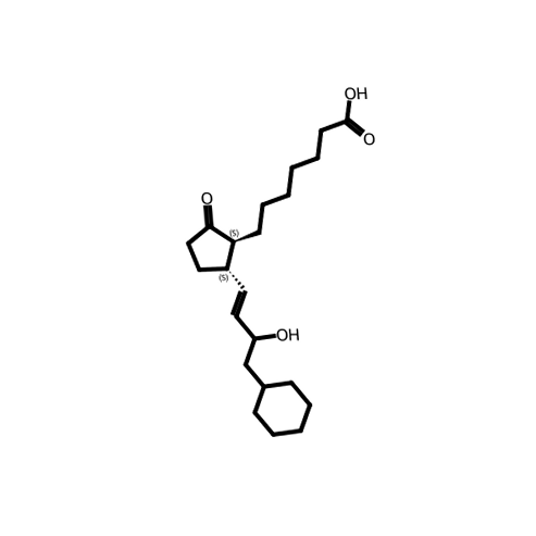 O=C(O)CCCCCC[C@@H]1C(=O)CC[C@H]1C=CC(O)CC1CCCCC1